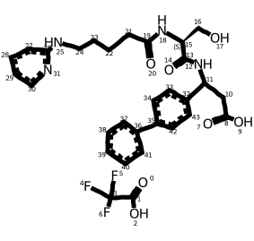 O=C(O)C(F)(F)F.O=C(O)CC(NC(=O)[C@H](CO)NC(=O)CCCCNc1ccccn1)c1ccc(-c2ccccc2)cc1